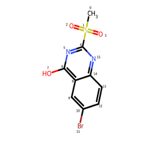 CS(=O)(=O)c1nc(O)c2cc(Br)ccc2n1